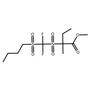 CCCCS(=O)(=O)C(F)(F)S(=O)(=O)C(C)(CC)C(=O)OC